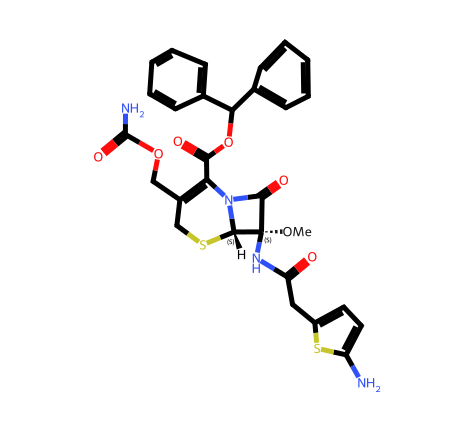 CO[C@@]1(NC(=O)Cc2ccc(N)s2)C(=O)N2C(C(=O)OC(c3ccccc3)c3ccccc3)=C(COC(N)=O)CS[C@H]21